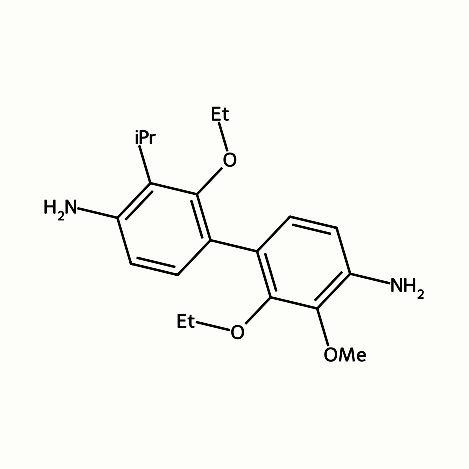 CCOc1c(-c2ccc(N)c(C(C)C)c2OCC)ccc(N)c1OC